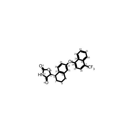 O=C1NC(=O)C([C@@H]2CCCc3cc(Oc4ccc(C(F)(F)F)c5ccccc45)ccc32)O1